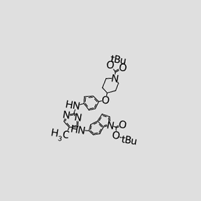 Cc1cnc(Nc2ccc(OC3CCN(C(=O)OC(C)(C)C)CC3)cc2)nc1Nc1ccc2c(ccn2C(=O)OC(C)(C)C)c1